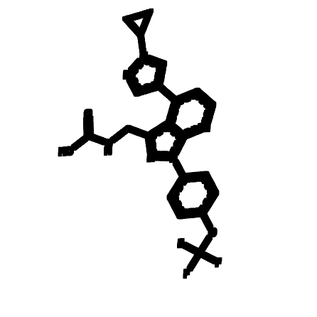 O=C(O)NCc1nn(-c2ccc(OC(F)(F)F)cc2)c2nccc(-c3cnn(C4CC4)c3)c12